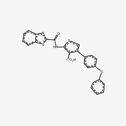 O=C(Nc1scc(-c2ccc(Oc3ccccc3)cc2)c1C(=O)O)c1nc2ccccc2o1